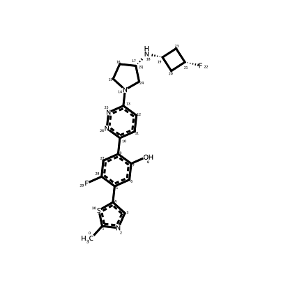 Cc1ncc(-c2cc(O)c(-c3ccc(N4CC[C@H](N[C@H]5C[C@@H](F)C5)C4)nn3)cc2F)s1